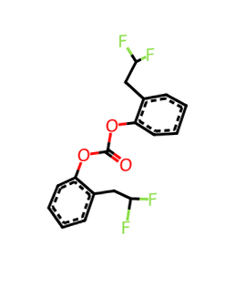 O=C(Oc1ccccc1CC(F)F)Oc1ccccc1CC(F)F